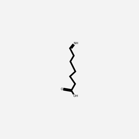 N=CCCCCCC(=O)O